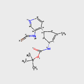 CC1=C[C@H](NC(=O)OC(C)(C)C)C[C@H](c2ccncc2N=C=S)C1